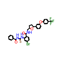 O=C(NC(=S)Nc1cc(Br)ccc1C(=O)NCC1CCC(c2cccc(Oc3ccc(C(F)(F)F)cc3)c2)O1)c1ccccc1